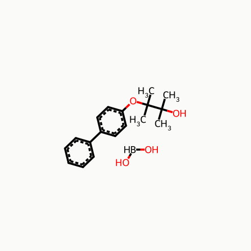 CC(C)(O)C(C)(C)Oc1ccc(-c2ccccc2)cc1.OBO